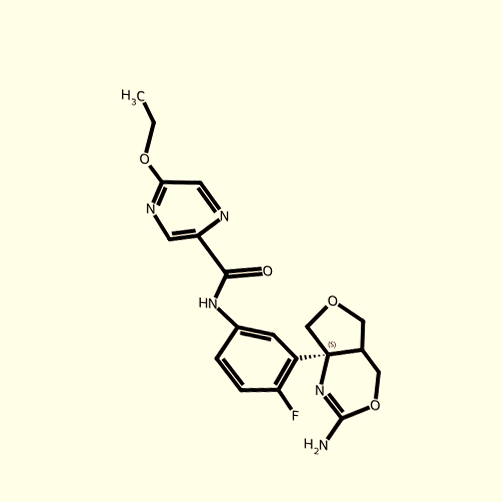 CCOc1cnc(C(=O)Nc2ccc(F)c([C@]34COCC3COC(N)=N4)c2)cn1